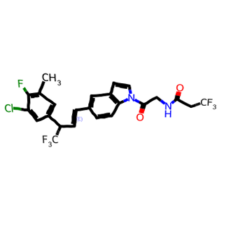 Cc1cc(C(/C=C/c2ccc3c(ccn3C(=O)CNC(=O)CC(F)(F)F)c2)C(F)(F)F)cc(Cl)c1F